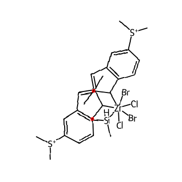 CC1=Cc2cc([S+](C)C)ccc2[CH]1[Zr]([Cl])([Cl])([Br])([Br])([CH]1C(C)=Cc2cc([S+](C)C)ccc21)[SiH](C)C